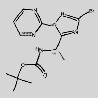 C[C@H](NC(=O)OC(C)(C)C)c1nc(Br)nn1-c1ncccn1